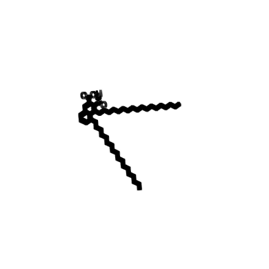 CCCCCCCCCCCCCCCCCCc1cccc2cc(C(=O)O)c(I(=O)=O)c(CCCCCCCCCCCCCCCCCC)c12